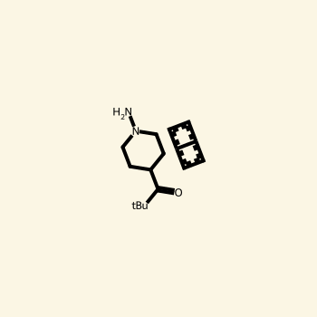 CC(C)(C)C(=O)C1CCN(N)CC1.c1cc2ccc1-2